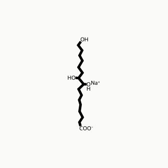 O=C([O-])CCCCCCCC(O)C(O)CCCCCCO.[Na+]